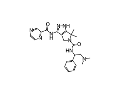 CN(C)CC(NC(=O)N1Cc2c(NC(=O)c3cnccn3)n[nH]c2C1(C)C)c1ccccc1